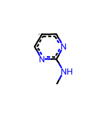 CNc1nc[c]cn1